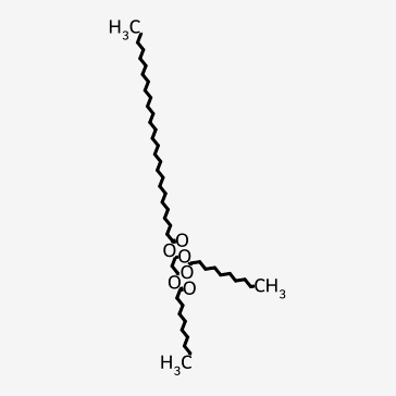 CCCCCCCCCCCCCCCCCCCCCCCCCCCC(=O)OC(CCOC(=O)CCCCCCCCC)OC(=O)CCCCCCCCC